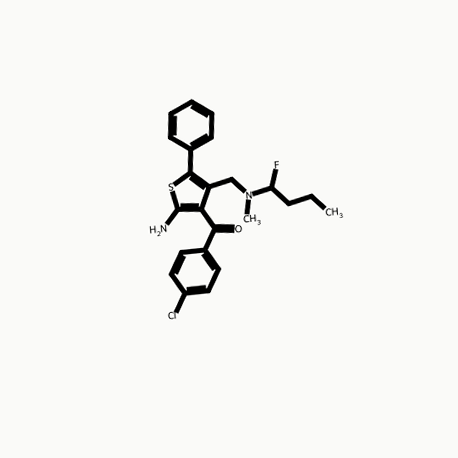 CCCC(F)N(C)Cc1c(-c2ccccc2)sc(N)c1C(=O)c1ccc(Cl)cc1